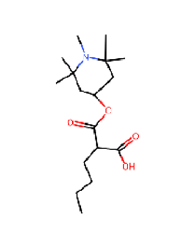 CCCCC(C(=O)O)C(=O)OC1CC(C)(C)N(C)C(C)(C)C1